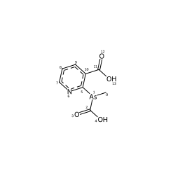 C[As](C(=O)O)c1ncccc1C(=O)O